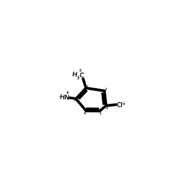 Cc1cc(Cl)ccc1[NH]